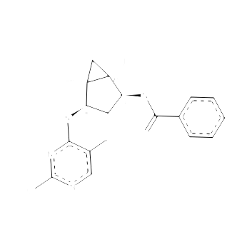 O=C(N[C@H]1C[C@@H](Nc2nc(Cl)ncc2F)[C@H]2C[C@H]21)c1ccccc1